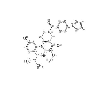 COn1c(NC(c2ccc(Cl)cc2)C(C)C)nc2c(c1=O)CN(C(=O)c1ccc(-n3ccnc3)cc1)CC2